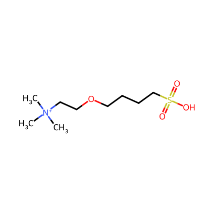 C[N+](C)(C)CCOCCCCS(=O)(=O)O